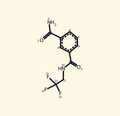 NC(=O)c1cccc(C(=O)NCC(F)(F)F)c1